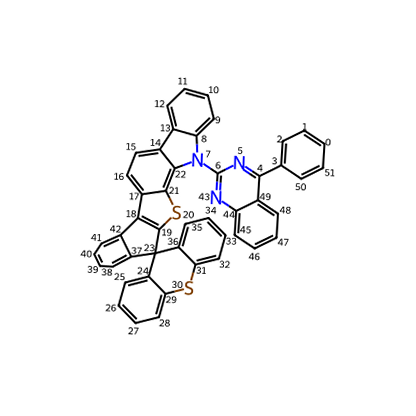 c1ccc(-c2nc(-n3c4ccccc4c4ccc5c6c(sc5c43)C3(c4ccccc4Sc4ccccc43)c3ccccc3-6)nc3ccccc23)cc1